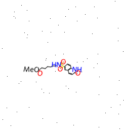 COC(=O)CCCCCCNS(=O)(=O)c1ccc2[nH]c(=O)ccc2c1